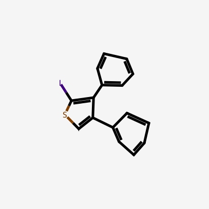 Ic1s[c]c(-c2ccccc2)c1-c1ccccc1